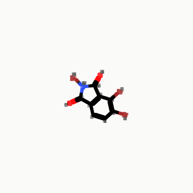 O=C1c2ccc(Br)c(Br)c2C(=O)N1Br